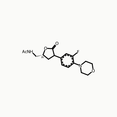 CC(=O)NC[C@H]1CC(c2ccc(N3CCOCC3)c(F)c2)C(=O)O1